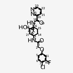 O=C(COc1ccc(Cl)c(F)c1)NC12CCC(NC(=O)c3cccnn3)(CC1)C(O)C2